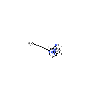 C=NC1CC(C)(C)N(c2nc(NCCCCCCCCCCCCCCCCCC)nc(N3C(C)(C)CCCC3(C)C)n2)C(C)(C)C1